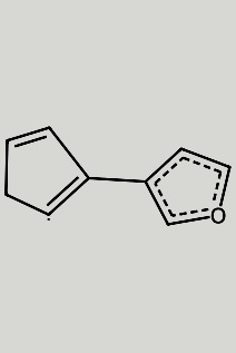 [C]1=C(c2ccoc2)C=CC1